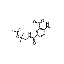 CNc1ccc(C(=O)NCC(C)(C)OC(C)=O)cc1[N+](=O)[O-]